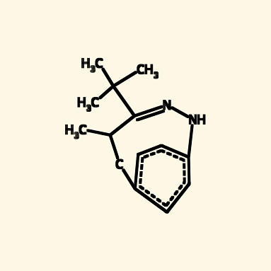 CC1Cc2ccc(cc2)N/N=C\1C(C)(C)C